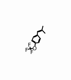 CC(C)=Cc1ccc(OC(F)(F)F)cc1